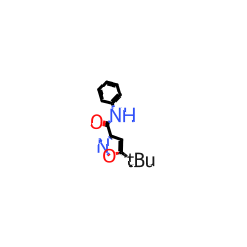 CC(C)(C)c1cc(C(=O)Nc2ccccc2)no1